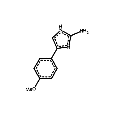 COc1ccc(-c2c[nH]c(N)n2)cc1